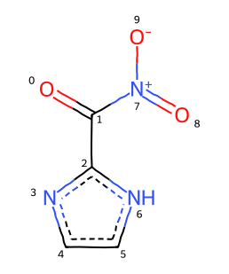 O=C(c1ncc[nH]1)[N+](=O)[O-]